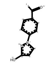 O=C(I)c1ccc(-n2ccc(O)n2)cc1